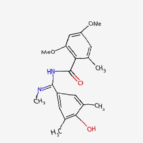 C/N=C(/NC(=O)c1c(C)cc(OC)cc1OC)c1cc(C)c(O)c(C)c1